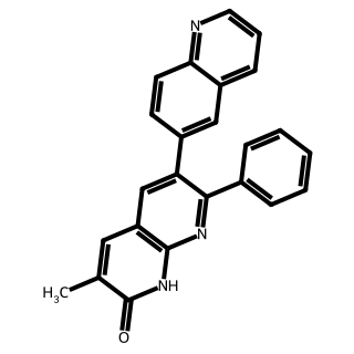 Cc1cc2cc(-c3ccc4ncccc4c3)c(-c3ccccc3)nc2[nH]c1=O